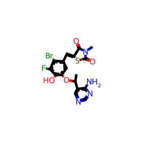 CC(Oc1cc(/C=C2\SC(=O)N(C)C2=O)c(Br)c(F)c1O)c1cncnc1N